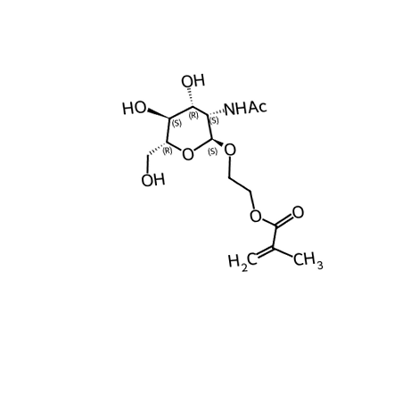 C=C(C)C(=O)OCCO[C@H]1O[C@H](CO)[C@@H](O)[C@H](O)[C@@H]1NC(C)=O